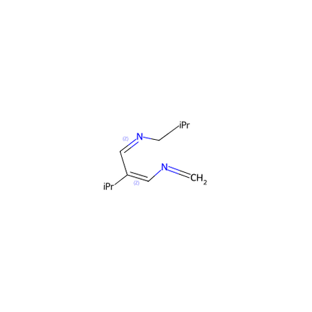 C=N/C=C(\C=N/CC(C)C)C(C)C